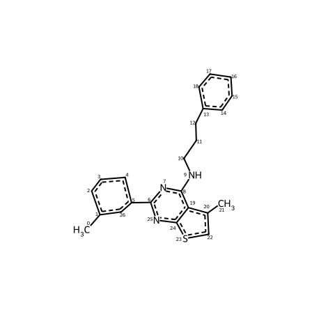 Cc1cccc(-c2nc(NCCCc3ccccc3)c3c(C)csc3n2)c1